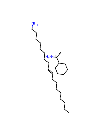 CCCCCCCCC=CCCCCCCCCN.C[C@H](N)C1CCCCC1